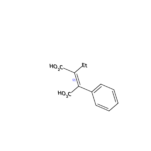 CC/C(C(=O)O)=C(/C(=O)O)c1ccccc1